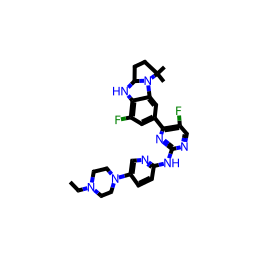 CCN1CCN(c2ccc(Nc3ncc(F)c(-c4cc(F)c5c(c4)N4C(CCC4(C)C)N5)n3)nc2)CC1